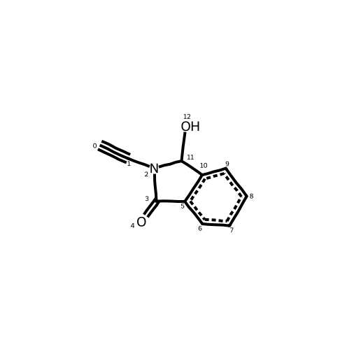 C#CN1C(=O)c2ccccc2C1O